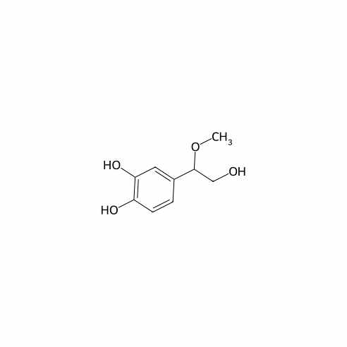 COC(CO)c1ccc(O)c(O)c1